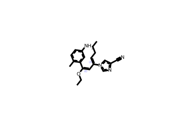 CCC/C=C(/C=C(/OCC)c1cc(N)ccc1C)n1cnc(C#N)c1